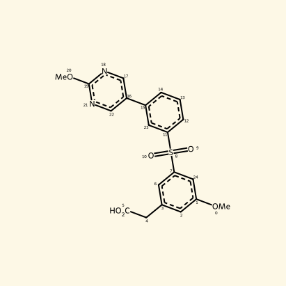 COc1cc(CC(=O)O)cc(S(=O)(=O)c2cccc(-c3cnc(OC)nc3)c2)c1